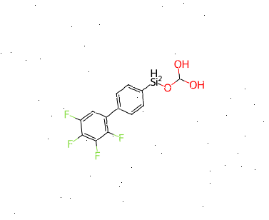 OC(O)O[SiH2]c1ccc(-c2cc(F)c(F)c(F)c2F)cc1